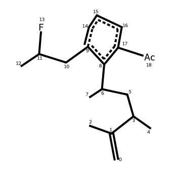 C=C(C)C(C)CC(C)c1c(CC(C)F)cccc1C(C)=O